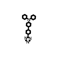 c1ccc(N(c2ccccc2)c2ccc(-c3ccc(-c4ncncn4)cc3)cc2)cc1